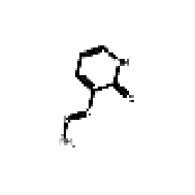 NN=Nc1ccc[nH]c1=O